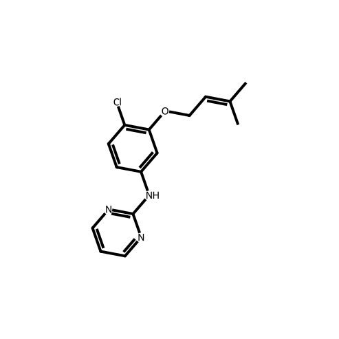 CC(C)=CCOc1cc(Nc2ncccn2)ccc1Cl